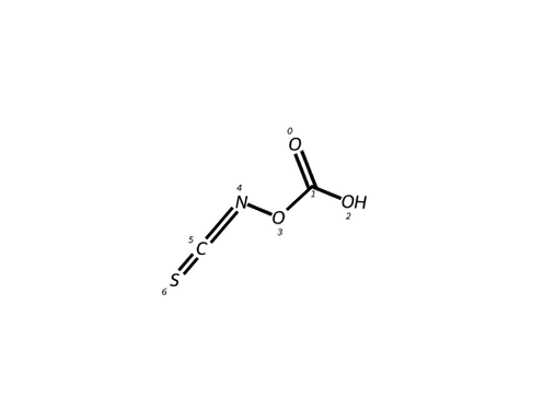 O=C(O)ON=C=S